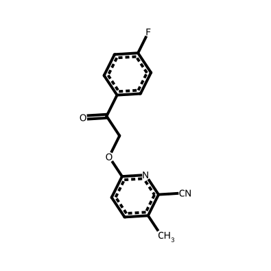 Cc1ccc(OCC(=O)c2ccc(F)cc2)nc1C#N